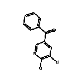 O=C(c1ccccc1)c1cnc(Cl)c(Cl)c1